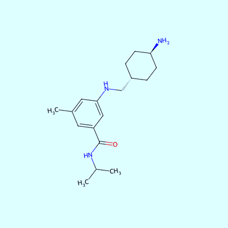 Cc1cc(NC[C@H]2CC[C@H](N)CC2)cc(C(=O)NC(C)C)c1